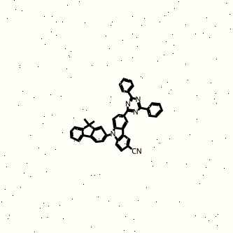 CC1(C)c2ccccc2-c2ccc(-n3c4ccc(C#N)cc4c4cc(-c5nc(-c6ccccc6)nc(-c6ccccc6)n5)ccc43)cc21